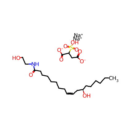 CCCCCC[C@@H](O)C/C=C\CCCCCCCC(=O)NCCO.O=C([O-])CC(C(=O)[O-])S(=O)(=O)O.[Na+].[Na+]